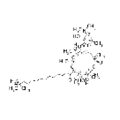 CC[C@H]1OC(=O)[C@H](C)CC[C@@H](O[C@@H]2O[C@H](C)C[C@H](N(C)C)[C@H]2O)[C@](C)(O)C[C@@H](C)CN(C(=O)CCCCCCCCCCC[PH](C)(C)C)[C@H](C)[C@@H](O)[C@]1(C)O